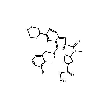 Cc1c(F)cccc1CN(C)c1cc(C(=O)N(C)C2CCN(C(=O)OC(C)(C)C)C2)cc2ncc(N3CCOCC3)nc12